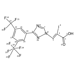 O=C(O)/C(I)=C/n1cnc(-c2cc(C(F)(F)F)cc(S(F)(F)(F)(F)F)c2)n1